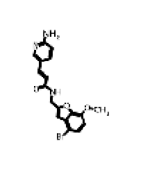 COc1ccc(Br)c2cc(CNC(=O)C=Cc3ccc(N)nc3)oc12